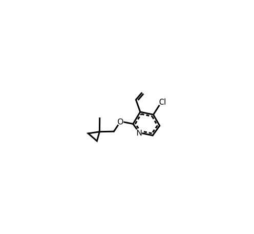 C=Cc1c(Cl)ccnc1OCC1(C)CC1